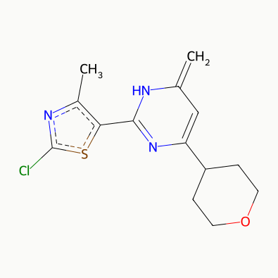 C=C1C=C(C2CCOCC2)N=C(c2sc(Cl)nc2C)N1